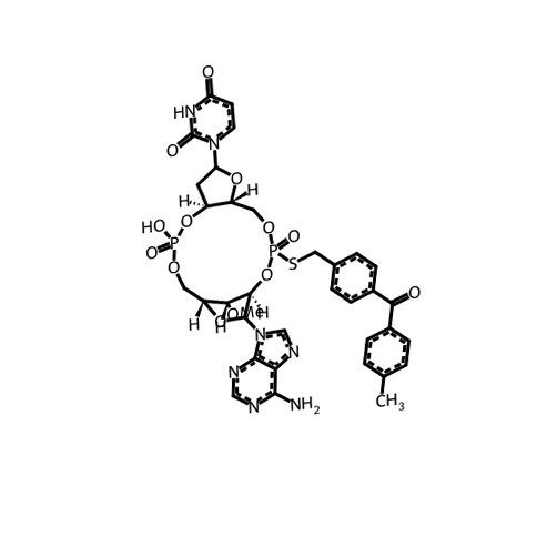 CO[C@@H]1[C@H]2COP(=O)(O)O[C@H]3CC(n4ccc(=O)[nH]c4=O)O[C@@H]3COP(=O)(SCc3ccc(C(=O)c4ccc(C)cc4)cc3)O[C@H]1C(n1cnc3c(N)ncnc31)O2